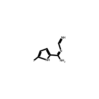 N=C/N=C(/N)c1ccc(I)[nH]1